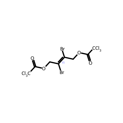 O=C(OC/C(Br)=C(\Br)COC(=O)C(Cl)(Cl)Cl)C(Cl)(Cl)Cl